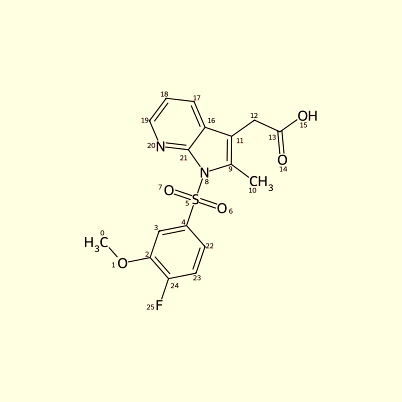 COc1cc(S(=O)(=O)n2c(C)c(CC(=O)O)c3cccnc32)ccc1F